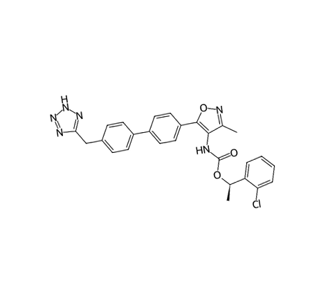 Cc1noc(-c2ccc(-c3ccc(Cc4nn[nH]n4)cc3)cc2)c1NC(=O)O[C@H](C)c1ccccc1Cl